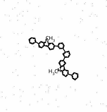 Cn1c2ccc(-c3ccccc3)cc2c2cc(-c3cccc(-c4cccc(-c5ccc6c7ccc(-c8ccccc8)cc7n(C)c6c5)c4)c3)ccc21